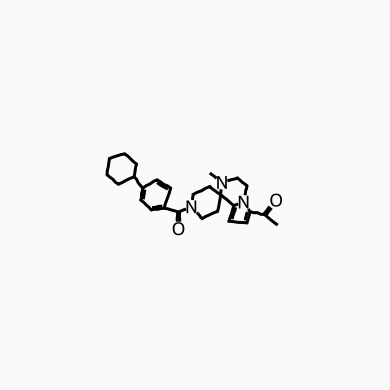 CC(=O)c1ccc2n1CCN(C)C21CCN(C(=O)c2ccc(C3CCCCC3)cc2)CC1